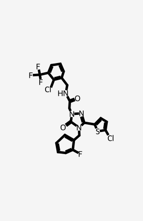 O=C(Cn1nc(-c2ccc(Cl)s2)n(Cc2ccccc2F)c1=O)NCc1cccc(C(F)(F)F)c1Cl